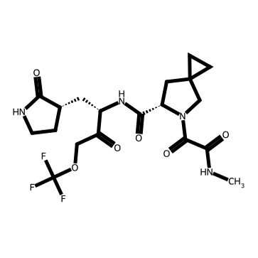 CNC(=O)C(=O)N1CC2(CC2)C[C@H]1C(=O)N[C@@H](C[C@@H]1CCNC1=O)C(=O)COC(F)(F)F